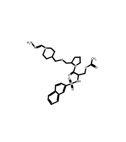 CC(=O)OCC(NS(=O)(=O)c1ccc2ccccc2c1)C(=O)N1CCCC1CSCC1CCN(C=NN)CC1